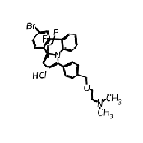 CN(C)CCOCc1ccc(-c2ccc(-c3ccc(Br)cc3)n2-c2ccccc2C(F)(F)F)cc1.Cl